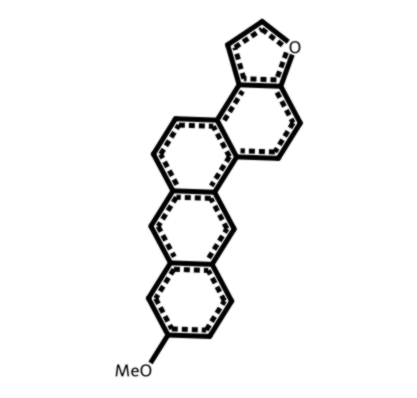 COc1ccc2cc3c(ccc4c5ccoc5ccc34)cc2c1